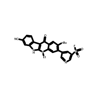 CCCCc1cc2c(=O)c3c4ccc(C#N)cc4[nH]c3n(CC)c2cc1-c1cncc(S(=O)(=O)F)c1